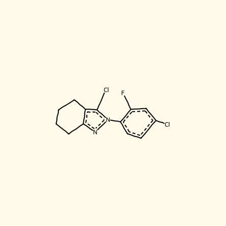 Fc1cc(Cl)ccc1-n1nc2c(c1Cl)CCCC2